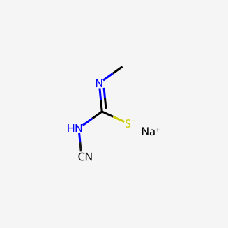 CN=C([S-])NC#N.[Na+]